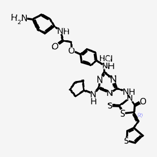 Cl.Nc1ccc(NC(=O)COc2ccc(Nc3nc(NC4CCCC4)nc(NN4C(=O)/C(=C/c5ccsc5)SC4=S)n3)cc2)cc1